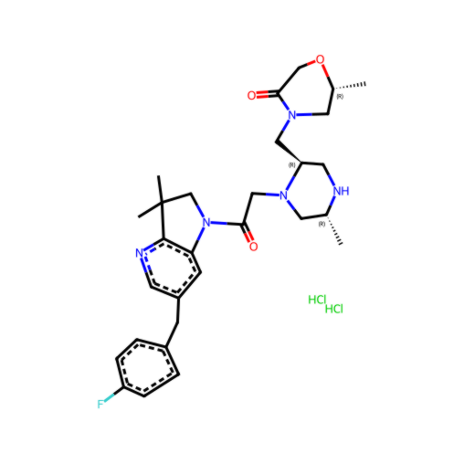 C[C@@H]1CN(CC(=O)N2CC(C)(C)c3ncc(Cc4ccc(F)cc4)cc32)[C@@H](CN2C[C@@H](C)OCC2=O)CN1.Cl.Cl